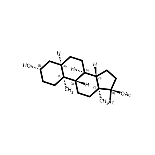 CC(=O)O[C@]1(C(C)=O)CC[C@H]2[C@@H]3CC[C@@H]4C[C@@H](O)CC[C@]4(C)[C@H]3CC[C@@]21C